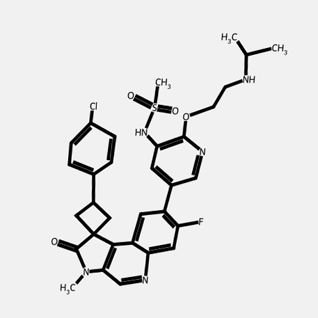 CC(C)NCCOc1ncc(-c2cc3c4c(cnc3cc2F)N(C)C(=O)C42CC(c3ccc(Cl)cc3)C2)cc1NS(C)(=O)=O